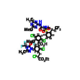 CCOC(=O)C(Cl)Cc1cc(-n2nc(C)n(C(F)F)c2=O)c(F)cc1Cl.COc1c(Cl)ccc(Cl)c1C(=O)O.COc1nc(C)nc(NC(=O)NS(=O)(=O)c2ccccc2CCC(F)(F)F)n1